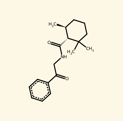 C[C@H]1CCCC(C)(C)[C@@H]1C(=O)NCC(=O)c1ccccc1